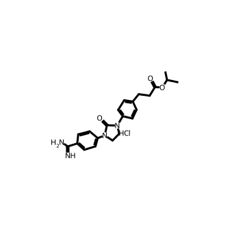 CC(C)OC(=O)CCc1ccc(N2CCN(c3ccc(C(=N)N)cc3)C2=O)cc1.Cl